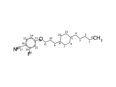 CCCCCC1CCC(CCCOc2ccc(C#N)c(F)c2)CC1